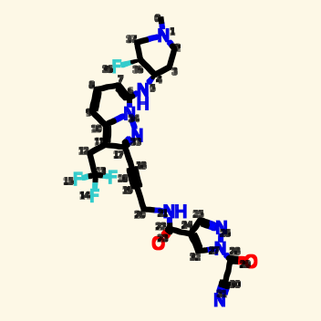 CN1CC[C@@H](Nc2cccc3c(CC(F)(F)F)c(C#CCNC(=O)c4cnn(C(=O)C#N)c4)nn23)[C@@H](F)C1